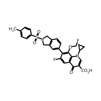 Cc1ccc(S(=O)(=O)N2Cc3ccc(-c4c(F)cc5c(=O)c(C(=O)O)cn(C6CC6)c5c4OCF)cc3C2)cc1